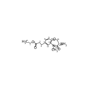 CCOC(=O)CCc1ccc2c(c1)N(C)C(=O)[C@@H](N)CO2